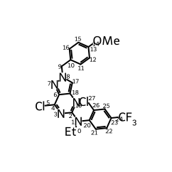 CCN(c1nc(Cl)c2nn(Cc3ccc(OC)cc3)cc2n1)c1ccc(C(F)(F)F)cc1Cl